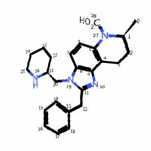 C[C@H]1CCc2c(ccc3c2nc(Cc2ccccc2)n3C[C@@H]2CCCCN2)N1C(=O)O